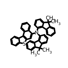 CC1(C)c2ccccc2-c2c(N(c3cccc4c3-c3ccccc3C4(C)C)c3cc4sc5ccccc5c4c4ccccc34)cccc21